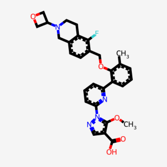 COc1c(C(=O)O)cnn1-c1cccc(-c2cccc(C)c2OCc2ccc3c(c2F)CCN(C2COC2)C3)n1